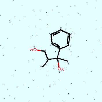 CC(CO)C(C)(O)c1ccccc1